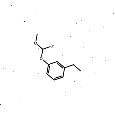 CCc1cccc(OC(Br)OC)c1